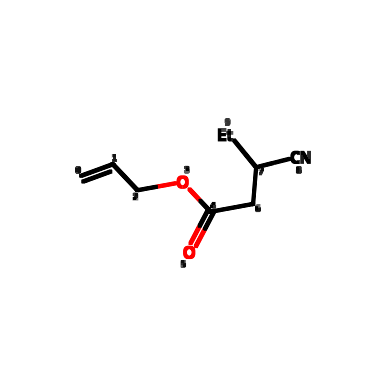 C=CCOC(=O)CC(C#N)CC